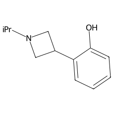 CC(C)N1CC(c2ccccc2O)C1